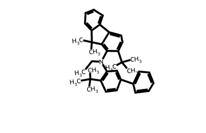 CCN(c1cc(-c2ccccc2)ccc1C(C)(C)C)c1c(C(C)(C)C)ccc2c1C(C)(C)c1ccccc1-2